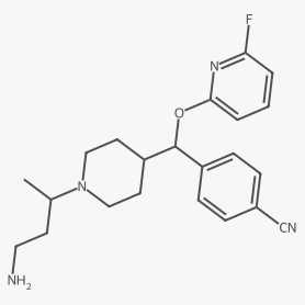 CC(CCN)N1CCC(C(Oc2cccc(F)n2)c2ccc(C#N)cc2)CC1